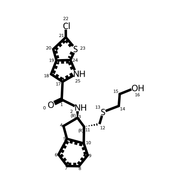 O=C(N[C@@H]1Cc2ccccc2[C@H]1CSCCO)c1cc2cc(Cl)sc2[nH]1